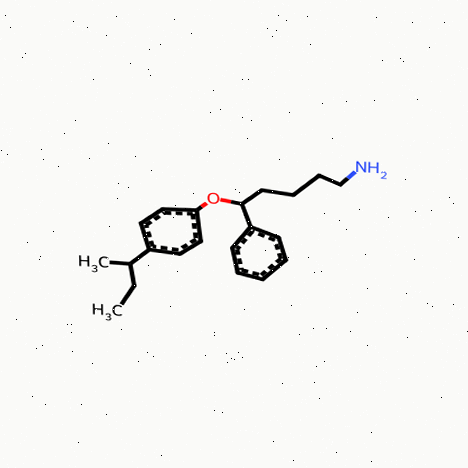 CCC(C)c1ccc(OC(CCCCN)c2ccccc2)cc1